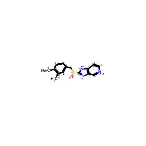 COc1ccc(C[S+]([O-])c2nc3cnccc3[nH]2)cc1C